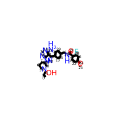 C=CC(O)N1CCC[C@@H](n2nc(-c3ccc(CNC(=O)c4ccc(OC)cc4F)cc3)c3c(N)ncnc32)C1